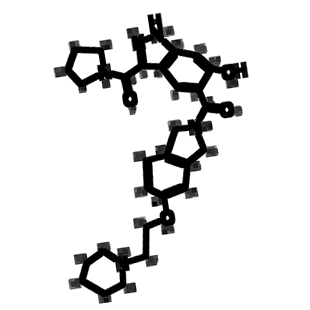 O=C(c1cc2c(C(=O)N3CCCC3)n[nH]c2cc1O)N1Cc2ccc(OCCN3CCCCC3)cc2C1